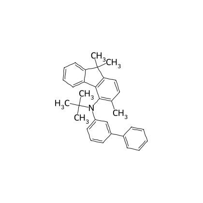 Cc1ccc2c(c1N(c1cccc(-c3ccccc3)c1)C(C)(C)C)-c1ccccc1C2(C)C